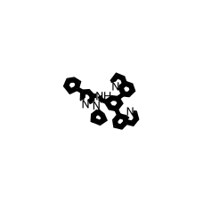 c1ccc(-c2cnc3c(c2)NC(c2cc(-c4cccc5cccnc45)cc(-c4cccc5cccnc45)c2)N3c2ccccc2)cc1